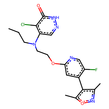 CCCN(CCOc1cc(-c2c(C)noc2C)c(F)cn1)c1cn[nH]c(=O)c1Cl